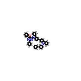 c1ccc(-c2cccc(-n3c4ccccc4c4ccc(-c5ccc6c(c5)c5ccccc5n6-c5nc(-c6ccccc6)nc6c5oc5ccccc56)cc43)c2)cc1